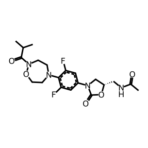 CC(=O)NC[C@H]1CN(c2cc(F)c(N3CCON(C(=O)C(C)C)CC3)c(F)c2)C(=O)O1